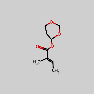 CC=C(C)C(=O)OC1CCOCO1